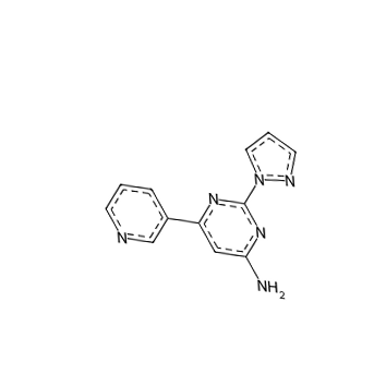 Nc1cc(-c2cccnc2)nc(-n2cccn2)n1